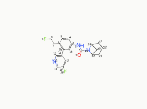 O=C(Nc1ccc(CCF)c(-c2cncc(F)c2)c1)N1C2CCCC1C2